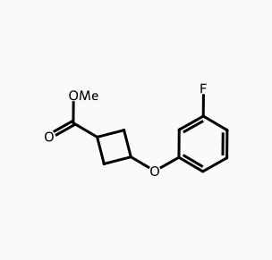 COC(=O)C1CC(Oc2cccc(F)c2)C1